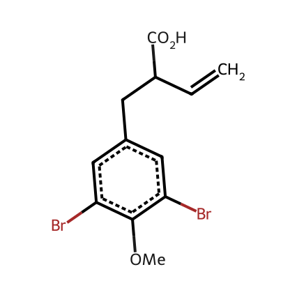 C=CC(Cc1cc(Br)c(OC)c(Br)c1)C(=O)O